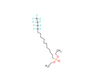 CCOP(=O)(CCCCCCCCCCCC(F)(F)C(F)(F)C(F)(F)C(F)(F)F)OCC